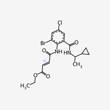 CCOC(=O)/C=C/C(=O)Nc1c(Br)cc(Cl)cc1C(=O)NC(C)C1CC1